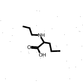 CCCNC(CCC)C(=O)O